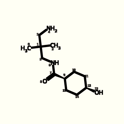 CC(C)(CN)CNC(=O)[C@H]1CC[C@@H](O)CC1